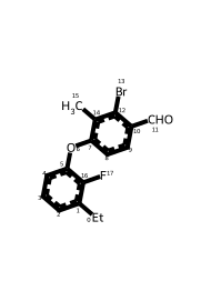 CCc1cccc(Oc2ccc(C=O)c(Br)c2C)c1F